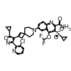 NC(=O)c1nc2ccc(N3CCC4(C=C(c5c(-c6ncccc6Cl)noc5C5CC5)C4)CC3)cc2c(OC(F)F)c1S(=O)(=O)C1CC1